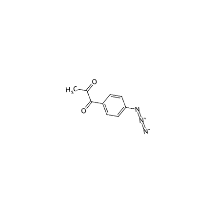 CC(=O)C(=O)c1ccc(N=[N+]=[N-])cc1